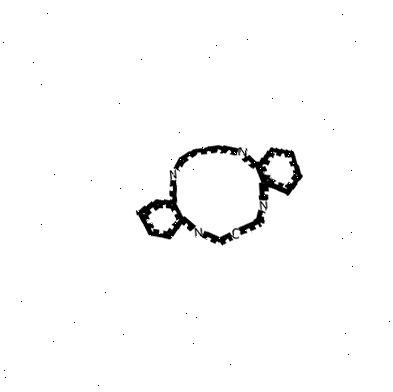 c1cnc2ccccc2ncccnc2ccccc2nc1